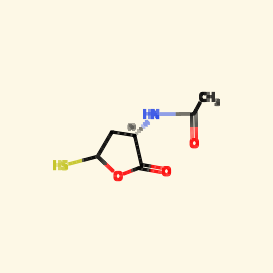 CC(=O)N[C@H]1CC(S)OC1=O